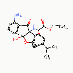 CCOC(=O)C(=O)NC12C(=O)c3c(N)cccc3C1(O)Oc1cc(C(C)C)ccc12